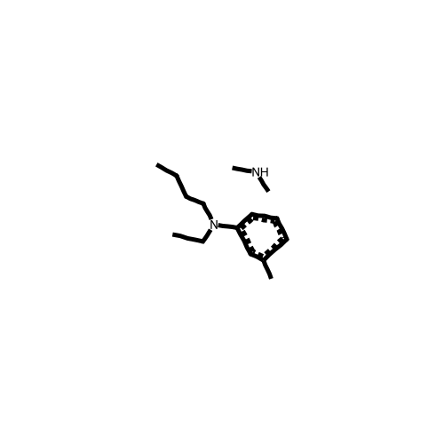 CCCCN(CC)c1cccc(C)c1.CNC